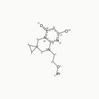 CC(C)OCCN1CC2(CC2)Cn2c1nc(Cl)cc2=O